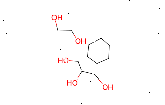 C1CCCCC1.OCC(O)CO.OCCO